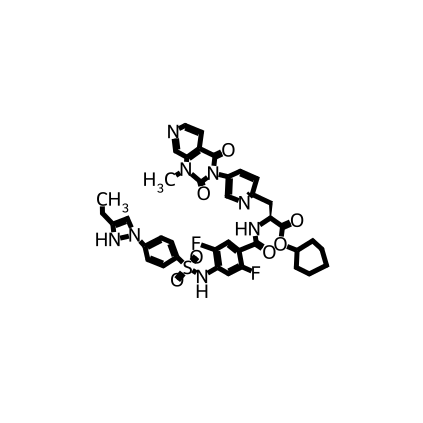 CCc1cn(-c2ccc(S(=O)(=O)Nc3cc(F)c(C(=O)N[C@@H](Cc4ccc(-n5c(=O)c6ccncc6n(C)c5=O)cn4)C(=O)OC4CCCCC4)cc3F)cc2)[nH]1